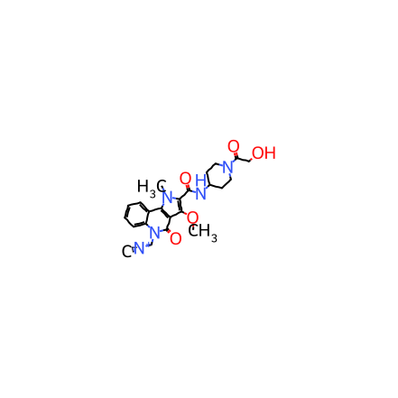 [C-]#[N+]Cn1c(=O)c2c(OC)c(C(=O)NC3CCN(C(=O)CO)CC3)n(C)c2c2ccccc21